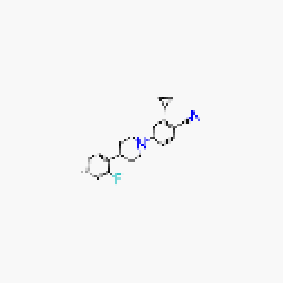 N#Cc1ccc(N2CCC(c3cc[c]cc3F)CC2)cc1C1CC1